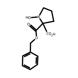 O=C(O)C1(C(=O)OCc2ccccc2)CCCN1O